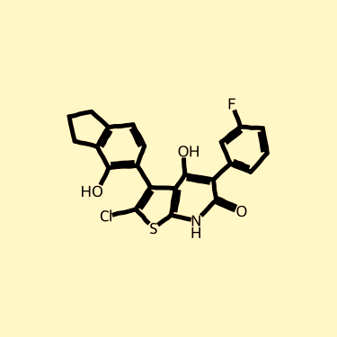 O=c1[nH]c2sc(Cl)c(-c3ccc4c(c3O)CCC4)c2c(O)c1-c1cccc(F)c1